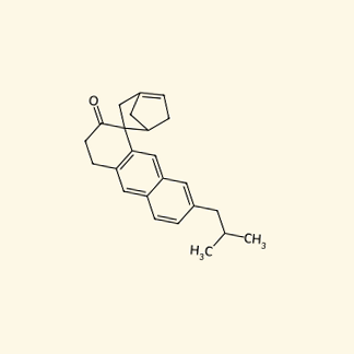 CC(C)Cc1ccc2cc3c(cc2c1)C1(CC2=CCC1C2)C(=O)CC3